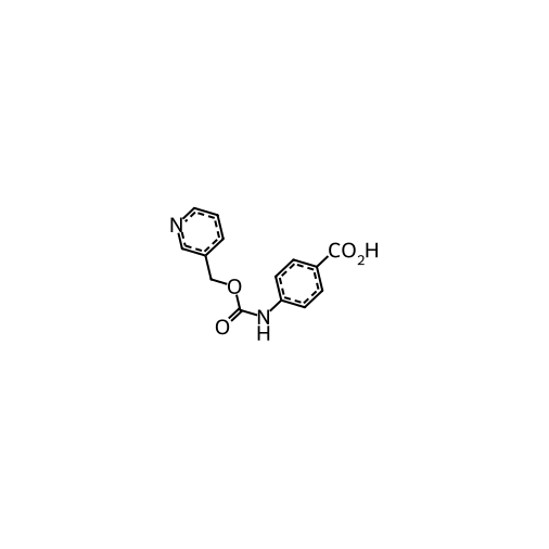 O=C(Nc1ccc(C(=O)O)cc1)OCc1cccnc1